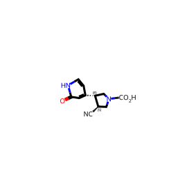 N#C[C@@H]1CN(C(=O)O)C[C@H]1c1cc[nH]c(=O)c1